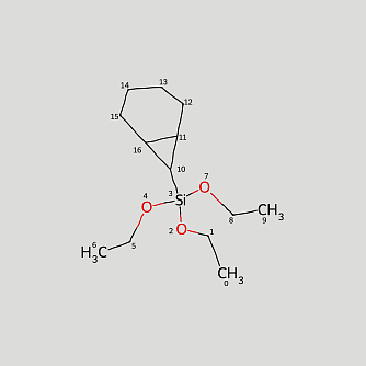 CCO[Si](OCC)(OCC)C1C2CCCCC21